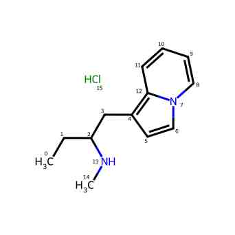 CCC(Cc1ccn2ccccc12)NC.Cl